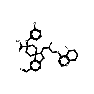 C[C@@H](COc1ccnc2c1[C@H](C)CCC2)CC1Cc2ccc(C=O)cc2C12CCC(Nc1cccc(Cl)c1)(C(=O)O)CC2